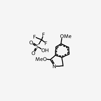 COC1=NCc2ccc(OC)cc21.O=S(=O)(O)C(F)(F)F